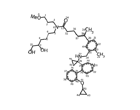 COCCCN(CCCCC(O)CO)C(=O)CCCC(C)c1ccc(C)c(CNC2(c3cnccc3-c3ccccc3OC3CC3)CC2)c1